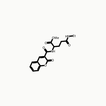 CCNC(=O)CCC(NC(=O)c1cc2ccccc2oc1=O)C(=O)OC